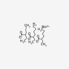 CCCCC(CC)C(=O)[O-].CCCCC(CC)C(=O)[O-].CCCCC(CC)C(=O)[O-].[Mo+3]